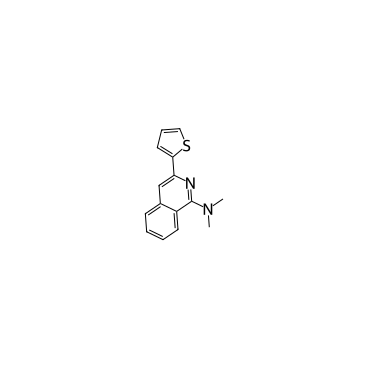 CN(C)c1nc(-c2cccs2)cc2ccccc12